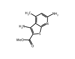 COC(=O)c1sc2nc(N)cc(C)c2c1N